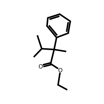 CCOC(=O)C(C)(c1ccccc1)C(C)C